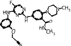 CNC(=O)c1cc(Nc2ncc(F)c(Nc3cccc(OCC#N)c3)n2)ccc1N1CCN(C)CC1